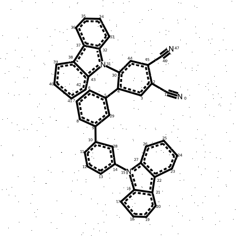 N#Cc1cc(-c2cccc(-c3cccc(-n4c5ccccc5c5ccccc54)c3)c2)c(-n2c3ccccc3c3ccccc32)cc1C#N